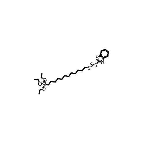 CCO[Si](CCCCCCCCCCCCSSSc1nc2ccccc2s1)(OCC)OCC